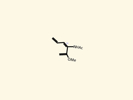 C=C/C=C(/NC(C)=O)C(=C)OC